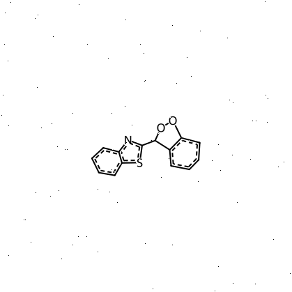 c1ccc2c(c1)OO[C]2c1nc2ccccc2s1